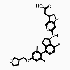 Cc1cc(OCC2CCOC2)cc(C)c1-c1ccc(F)c2c1CC[C@H]2Nc1cc2c(cn1)C(CC(=O)O)CO2